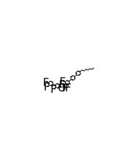 CCCCCCCc1ccc(-c2ccc(-c3cc(F)c(C(F)(F)Oc4ccc(-c5ccc(F)c(F)c5)c(F)c4)c(F)c3)cc2)cc1